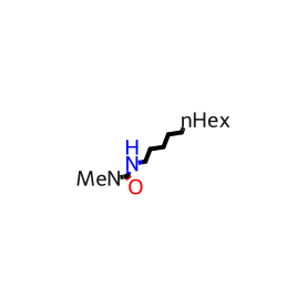 CCCCCCCCCCCNC(=O)NC